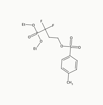 CCOP(=O)(OCC)C(F)(F)CCOS(=O)(=O)c1ccc(C)cc1